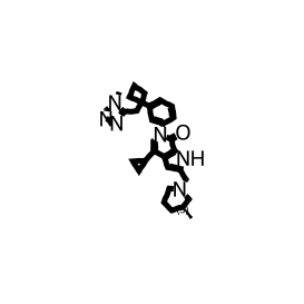 C[C@H]1CCCN(Cc2cc3c(C4CC4)cn(-c4cccc(C5(Cc6nncn6C)CCC5)c4)c(=O)c3[nH]2)C1